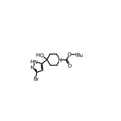 CC(C)(C)OC(=O)N1CCC(O)(c2cc(Br)n[nH]2)CC1